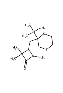 CC1(C)C(=O)N(C(C)(C)C)C1CC1([Si](C)(C)C)CSCCS1